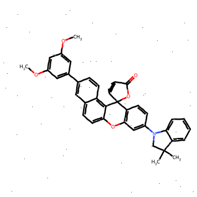 COc1cc(OC)cc(-c2ccc3c4c(ccc3c2)Oc2cc(N3CC(C)(C)c5ccccc53)ccc2C42OC(=O)c3ccccc32)c1